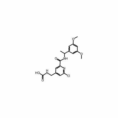 COc1cc(OC)cc(C(C)NC(=O)c2cc(CNC(=O)O)cc(Cl)n2)c1